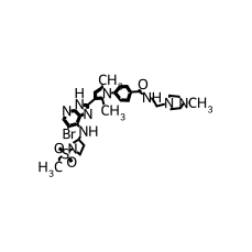 CCS(=O)(=O)N1CCC(Nc2c(Br)cnc3[nH]c(-c4cc(C)n(-c5ccc(C(=O)NCCN6CCN(C)CC6)cc5)c4C)nc23)C1